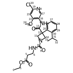 CCOC(=O)CCNC(=O)N1CC(C(=O)Nc2cnc(Cl)cc2OC)(c2ccccc2C(C)C)C1